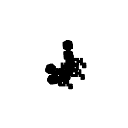 C[C@H](NC(=O)[C@H](C)Oc1ccc(-c2ccccc2)cc1)C(=O)NC1N=C(c2ccccc2)c2ccccc2N(C)C1=O